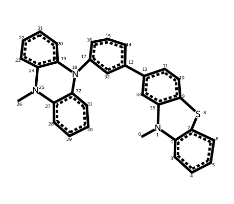 CN1c2ccccc2Sc2ccc(-c3cccc(N4c5ccccc5N(C)c5ccccc54)c3)cc21